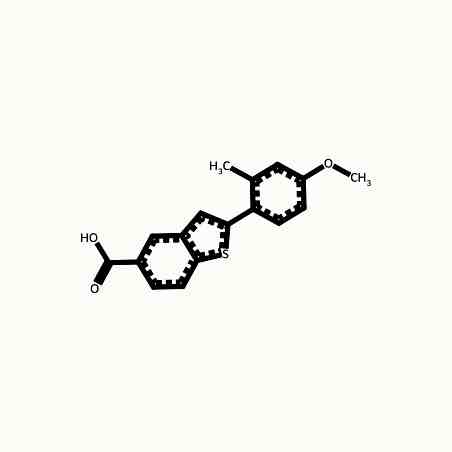 COc1ccc(-c2cc3cc(C(=O)O)ccc3s2)c(C)c1